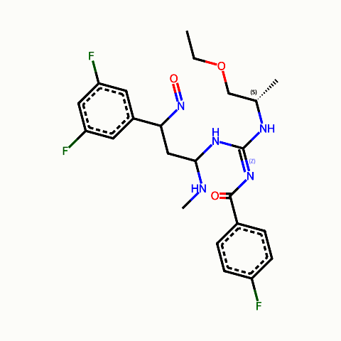 CCOC[C@H](C)N/C(=N/C(=O)c1ccc(F)cc1)NC(CC(N=O)c1cc(F)cc(F)c1)NC